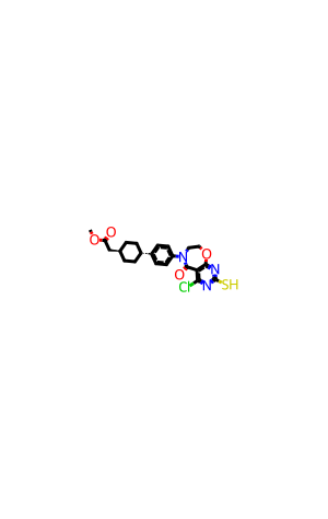 COC(=O)C[C@H]1CC[C@H](c2ccc(N3CCOc4nc(S)nc(Cl)c4C3=O)cc2)CC1